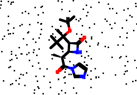 C[C@@H](C(=O)n1ccnc1)[C@@H]1NC(=O)[C@@H]1[C@@](C)(O[SiH](C)C)C(C)(C)C